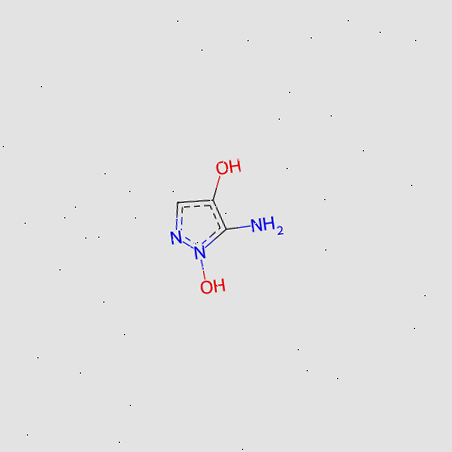 Nc1c(O)cnn1O